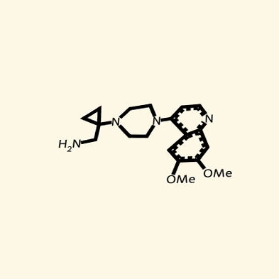 COc1cc2nccc(N3CCN(C4(CN)CC4)CC3)c2cc1OC